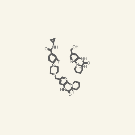 O=C(NC1CC1)c1ccc(N2CCN(Cc3cnc4c(c3)NC(=O)[C@@H]3CCCCN43)CC2)c(F)c1.O=C1Nc2cc(CO)cnc2N2CCCC[C@@H]12